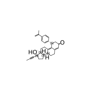 C=C(C)c1ccc([C@@H]2CC(=O)C=C3CC[C@@H]4C(=C32)CC[C@@]2(C)[C@H]4CC[C@@]2(O)C#CC)cc1